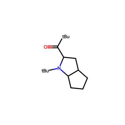 CC(C)(C)C(=O)C1CC2CCCC2N1C(C)(C)C